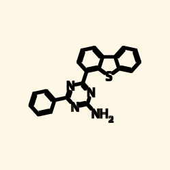 Nc1nc(-c2ccccc2)nc(-c2cccc3c2sc2ccccc23)n1